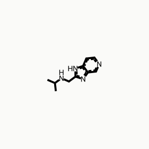 CC(C)NCc1nc2cnccc2[nH]1